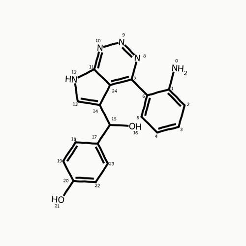 Nc1ccccc1-c1nnnc2[nH]cc(C(O)c3ccc(O)cc3)c12